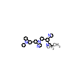 C=N/C(=C\C=C/C)c1cc(-c2cccc(-n3c4ccc(-c5ccc6c(c5)c5ccccc5n6-c5ccccc5)cc4c4ncccc43)c2)cc(-c2ccccn2)c1